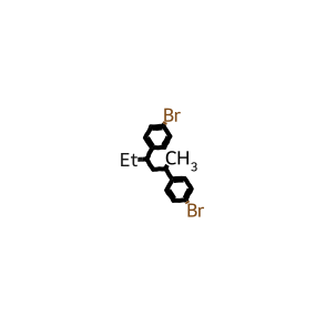 CCC(CC(C)c1ccc(Br)cc1)c1ccc(Br)cc1